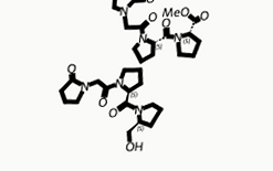 COC(=O)[C@@H]1CCCN1C(=O)[C@@H]1CCCN1C(=O)CN1CCCC1=O.O=C1CCCN1CC(=O)N1CCC[C@H]1C(=O)N1CCC[C@H]1CO